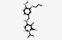 CCCOc1cc(CNc2cnn(C(C)C)c(=O)c2C)ccc1OC